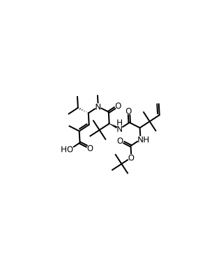 C=CC(C)(C)C(NC(=O)OC(C)(C)C)C(=O)N[C@H](C(=O)N(C)[C@H](C=C(C)C(=O)O)C(C)C)C(C)(C)C